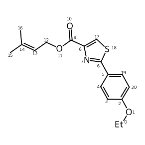 CCOc1ccc(-c2nc(C(=O)OCC=C(C)C)cs2)cc1